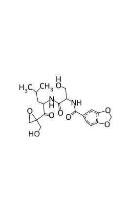 CC(C)CC(NC(=O)C(CO)NC(=O)c1ccc2c(c1)OCO2)C(=O)C1(CO)CO1